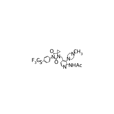 CC(=O)Nc1nccc(CN2C(=O)N(c3ccc(SC(F)(F)F)cc3)C(=O)C23CC3)c1N1CCN(C)CC1